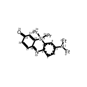 CCN(CC)c1ccc2c(c1)[Si](C(C)C)(C(C)C)C1=CC(=O)C=CC1=N2